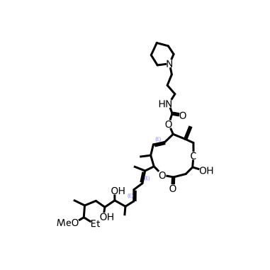 C=C1CCC(O)CC(=O)OC(/C(C)=C/C=C/C(C)C(O)C(O)CC(C)C(CC)OC)C(C)/C=C/C1OC(=O)NCCCN1CCCCC1